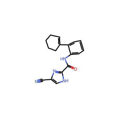 N#Cc1c[nH]c(C(=O)Nc2ccccc2C2=CCCCC2)n1